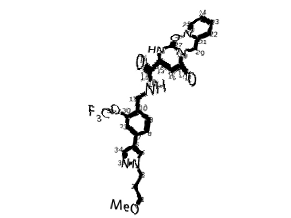 COCCCn1cc(-c2ccc(CNC(=O)c3cc(=O)n(Cc4ccccn4)c(=O)[nH]3)c(OC(F)(F)F)c2)cn1